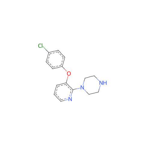 Clc1ccc(Oc2cccnc2N2CCNCC2)cc1